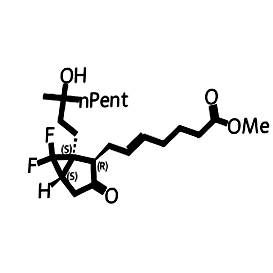 CCCCCC(C)(O)CC[C@@]12[C@H](CC(=O)[C@@H]1CC=CCCCC(=O)OC)C2(F)F